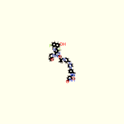 CCc1c(F)ccc2cc(O)cc(-c3ncc4c(N5CCC[C@]6(CCO6)C5)nc(OCC5(CN6CCC(CN7CCN(c8ccc9c(cnn9C9CCC(=O)NC9=O)c8)CC7)CC6)CC5)nc4c3F)c12